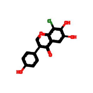 O=c1c(-c2ccc(O)cc2)coc2c(Cl)c(O)c(O)cc12